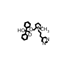 C[N+]1(CCCc2cncnc2)CCCC1COC(=O)C(O)(c1ccccc1)c1ccccc1